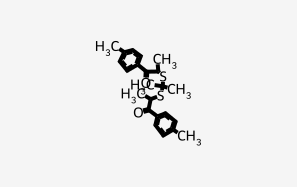 Cc1ccc(C(=O)C(C)SC(C)(C)SC(C)C(=O)c2ccc(C)cc2)cc1